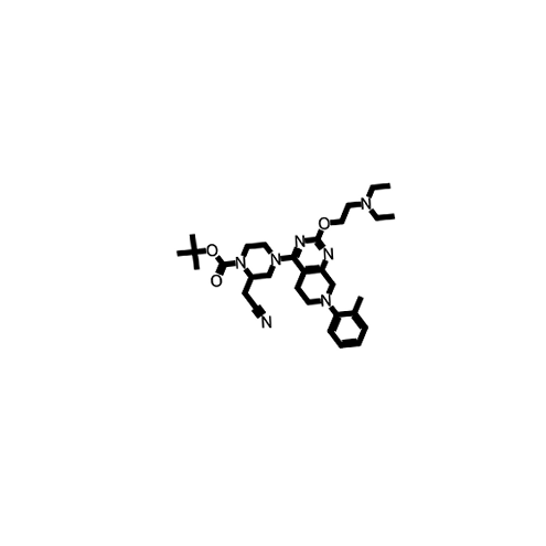 CCN(CC)CCOc1nc2c(c(N3CCN(C(=O)OC(C)(C)C)C(CC#N)C3)n1)CCN(c1ccccc1C)C2